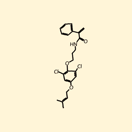 C=C(C(=O)NCCCOc1c(Cl)cc(OCC=C(C)C)cc1Cl)c1ccccc1